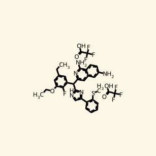 CCOc1cc(CC)cc(C(c2cc3cc(N)ccc3c(N)n2)c2nc(-c3ccccc3SC)c[nH]2)c1F.O=C(O)C(F)(F)F.O=C(O)C(F)(F)F